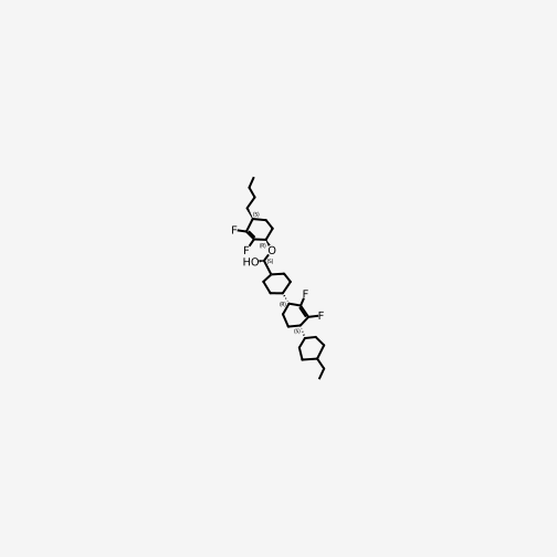 CCCC[C@H]1CC[C@@H](O[C@H](O)C2CCC([C@H]3CC[C@@H](C4CCC(CC)CC4)C(F)=C3F)CC2)C(F)=C1F